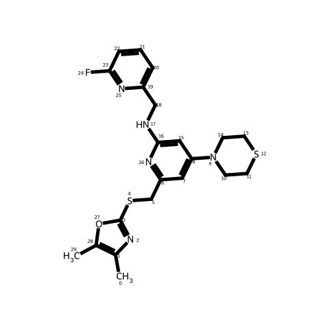 Cc1nc(SCc2cc(N3CCSCC3)cc(NCc3cccc(F)n3)n2)oc1C